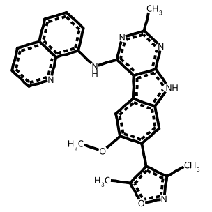 COc1cc2c(cc1-c1c(C)noc1C)[nH]c1nc(C)nc(Nc3cccc4cccnc34)c12